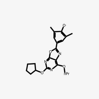 CCCOc1nc(OC2CCCC2)nc2oc(-c3cc(C)c([O])c(C)c3)nc12